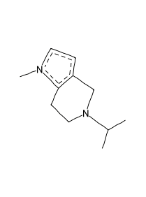 CC(C)N1CCc2c(ccn2C)C1